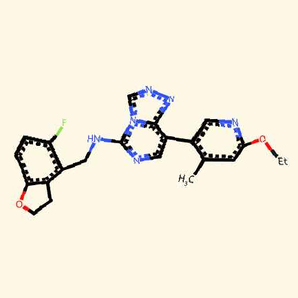 CCOc1cc(C)c(-c2cnc(NCc3c(F)ccc4c3CCO4)n3cnnc23)cn1